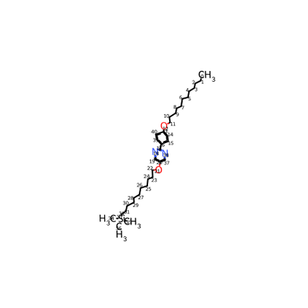 CCCCCCCCCCCCOc1ccc(-c2ncc(OCCCCCCCCCCC[Si](C)(C)C)cn2)cc1